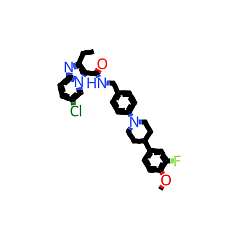 CCc1nc2ccc(Cl)cn2c1C(=O)NCc1ccc(N2CCC(c3ccc(OC)c(F)c3)CC2)cc1